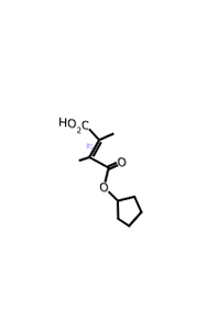 C/C(C(=O)O)=C(/C)C(=O)OC1CCCC1